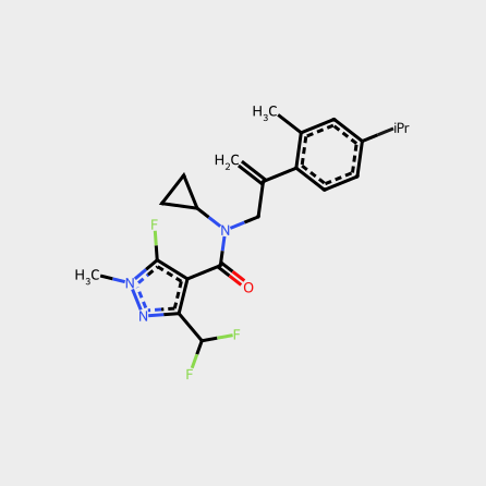 C=C(CN(C(=O)c1c(C(F)F)nn(C)c1F)C1CC1)c1ccc(C(C)C)cc1C